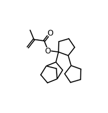 C=C(C)C(=O)OC1(C2CC3CCC2C3)CCCC1C1CCCC1